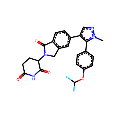 Cn1ncc(-c2ccc3c(c2)CN(C2CCC(=O)NC2=O)C3=O)c1-c1ccc(OC(F)F)cc1